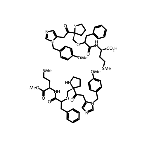 COC(=O)[C@@H](CCSC)NC(=O)C(Cc1ccccc1)OC[C@]1(C(=O)Cc2cncn2Cc2ccc(OC)cc2)CCCN1.COc1ccc(Cn2cncc2CC(=O)[C@@]2(COC(Cc3ccccc3)C(=O)N[C@H](CCSC)C(=O)O)CCCN2)cc1